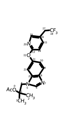 CC(=O)OC(C)(C)Cn1cnc2ccc(Oc3ccc(CC(F)(F)F)cn3)cc21